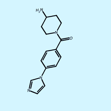 NC1CCN(C(=O)c2ccc(-n3ccnc3)cc2)CC1